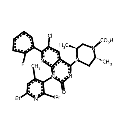 CCc1cc(C)c(-n2c(=O)nc(N3C[C@@H](C)N(C(=O)O)C[C@@H]3C)c3cc(Cl)c(-c4ccccc4F)nc32)c(C(C)C)n1